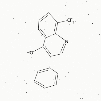 Oc1c(-c2ccccc2)cnc2c(C(F)(F)F)cccc12